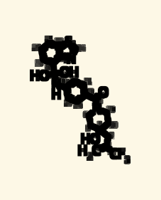 C=C(CC1(O)CCN(C(=O)c2ccc(NC(O)(O)c3cccc4scnc34)cc2)CC1)C(F)(F)F